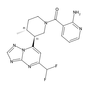 C[C@@H]1CCN(C(=O)c2cccnc2N)C[C@H]1c1cc(C(F)F)nc2ncnn12